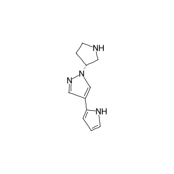 c1c[nH]c(-c2cnn([C@@H]3CCNC3)c2)c1